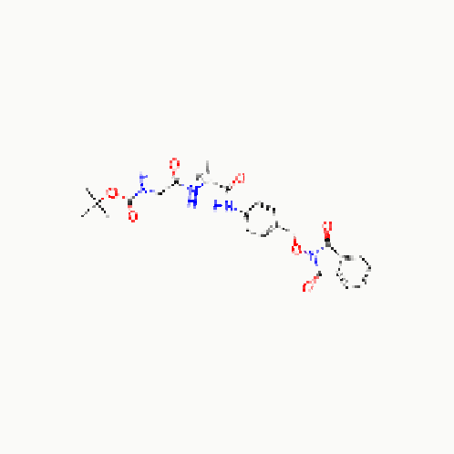 C[C@@H](NC(=O)CNC(=O)OC(C)(C)C)C(=O)Nc1ccc(CON2C(=O)c3ccccc3C2=O)cc1